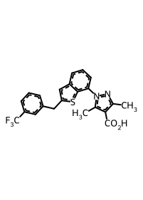 Cc1nn(-c2cccc3cc(Cc4cccc(C(F)(F)F)c4)sc23)c(C)c1C(=O)O